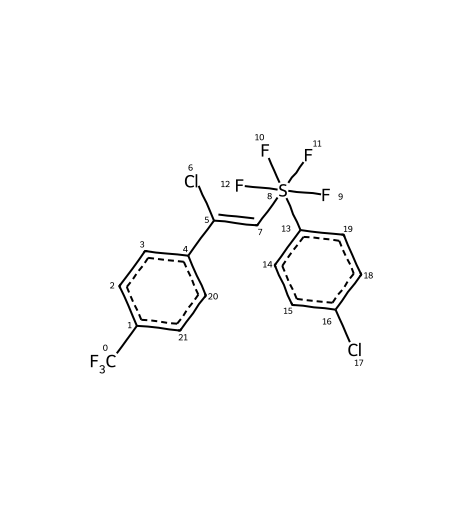 FC(F)(F)c1ccc(C(Cl)=CS(F)(F)(F)(F)c2ccc(Cl)cc2)cc1